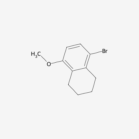 COc1ccc(Br)c2c1CCCC2